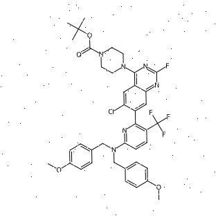 COc1ccc(CN(Cc2ccc(OC)cc2)c2ccc(C(F)(F)F)c(-c3cc4nc(F)nc(N5CCN(C(=O)OC(C)(C)C)CC5)c4cc3Cl)n2)cc1